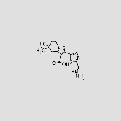 CC1(C)CCc2sc(-c3cnc(CNN)s3)c(C(=O)O)c2C1